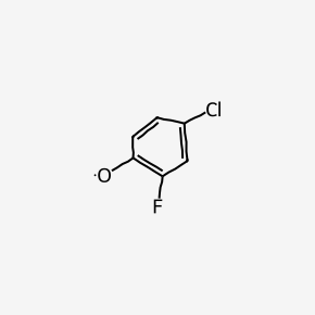 [O]c1ccc(Cl)cc1F